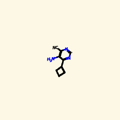 N#Cc1n[c]nc(C2CCC2)c1N